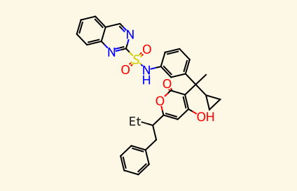 CCC(Cc1ccccc1)c1cc(O)c(C(C)(c2cccc(NS(=O)(=O)c3ncc4ccccc4n3)c2)C2CC2)c(=O)o1